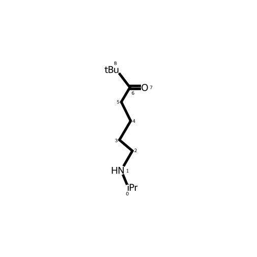 CC(C)NCCCCC(=O)C(C)(C)C